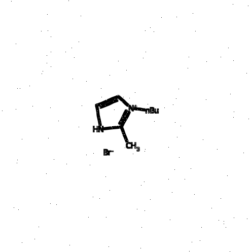 CCCC[n+]1cc[nH]c1C.[Br-]